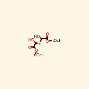 CCCCCCCCOC(=O)C(O)SC(O)C(=O)OCCCCCCCC